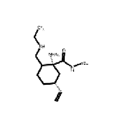 C=C[C@@H]1CCC(CNCC(F)(F)F)[C@@](NC(C)=O)(C(=O)NCCCC)C1